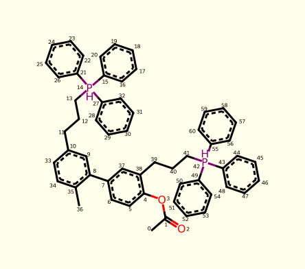 CC(=O)Oc1ccc(-c2cc(CCC[PH](c3ccccc3)(c3ccccc3)c3ccccc3)ccc2C)cc1CCC[PH](c1ccccc1)(c1ccccc1)c1ccccc1